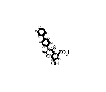 CC(C#N)N(C(=O)C1CC(O)CN1C(=O)O)c1ccc(-c2ccccc2)cc1